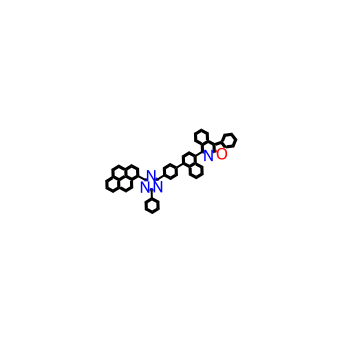 c1ccc(-c2nc(-c3ccc(-c4ccc(-c5nc6oc7ccccc7c6c6ccccc56)c5ccccc45)cc3)nc(-c3ccc4ccc5cccc6ccc3c4c56)n2)cc1